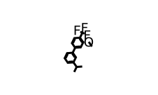 COc1cc(-c2cccc(C(C)C)c2)ccc1C(F)(F)F